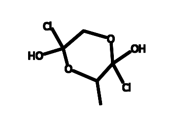 CC1OC(O)(Cl)COC1(O)Cl